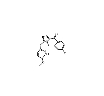 COC1C=CC(Cc2cc(C)c(C(=O)c3ccc(Cl)cc3)n2C)=NN1